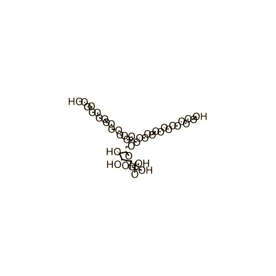 O=P(O)(O)OC[C@@]1(O)O[C@@H](COP(=O)(OOOOOOOOOOOOOOO)OOOOOOOOOOOOOOOO)[C@@H](O)[C@H]1O